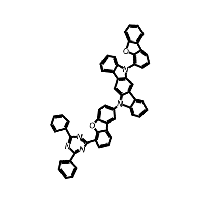 c1ccc(-c2nc(-c3ccccc3)nc(-c3cccc4c3oc3ccc(-n5c6ccccc6c6cc7c(cc65)c5ccccc5n7-c5cccc6c5oc5ccccc56)cc34)n2)cc1